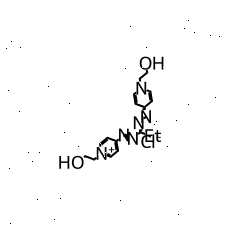 CCC(N=Nc1cc[n+](CCO)cc1)=NN=c1ccn(CCO)cc1.[Cl-]